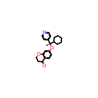 C[C@@](Oc1ccc2c(c1)OCCC2=O)(c1ccncc1)C1CCCCC1